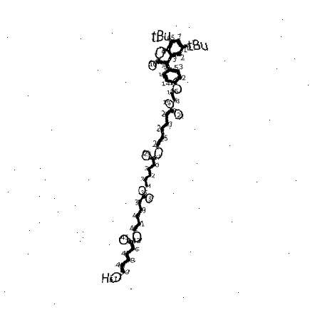 CC(C)(C)c1cc2c(c(C(C)(C)C)c1)OC(=O)C2c1ccc(OCCOC(=O)CCCCCOC(=O)CCCCCOC(=O)CCCCCOC(=O)CCCCCO)cc1